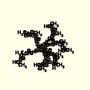 CC(O)COC(=O)OC(C)COCC(=O)OCCOCC(COCCOC(=O)OCC(C)OC(=O)OCC(C)O)(COCCOC(=O)OCC(C)OC(=O)OCC(C)O)COCC(COCCOC(=O)OCC(C)OC(=O)OCC(C)O)(COCCOC(=O)OCC(C)OC(=O)OCC(C)O)COCCOC(=O)OCC(C)OC(=O)OCC(C)O